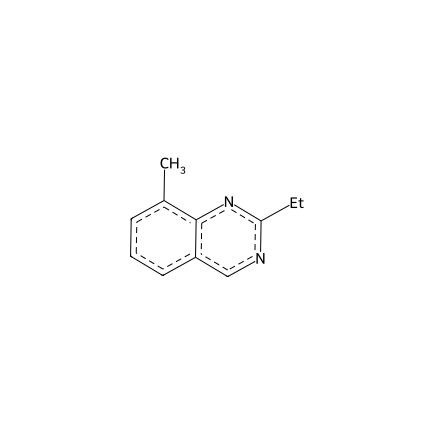 CCc1ncc2cccc(C)c2n1